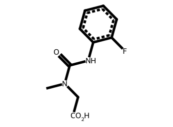 CN(CC(=O)O)C(=O)Nc1ccccc1F